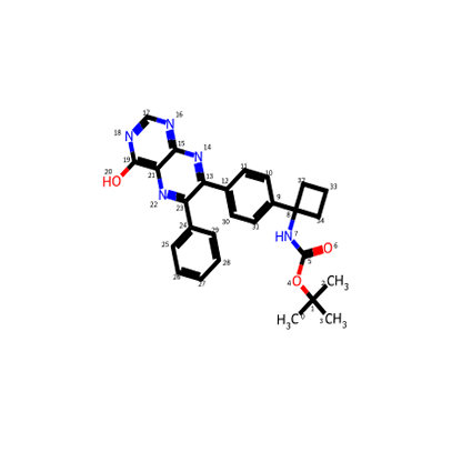 CC(C)(C)OC(=O)NC1(c2ccc(-c3nc4ncnc(O)c4nc3-c3ccccc3)cc2)CCC1